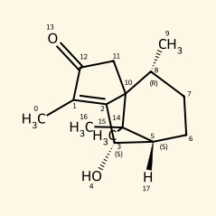 CC1=C2[C@@H](O)[C@H]3CC[C@@H](C)C2(CC1=O)C3(C)C